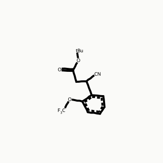 CC(C)(C)OC(=O)CC(C#N)c1ccccc1OC(F)(F)F